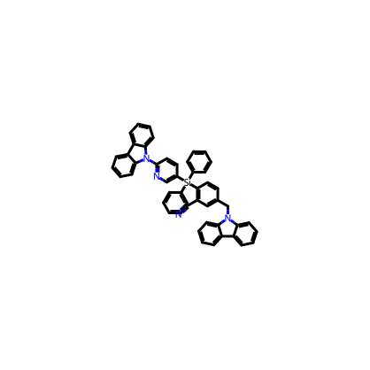 N#Cc1cc(Cn2c3ccccc3c3ccccc32)ccc1[Si](c1ccccc1)(c1ccccc1)c1ccc(-n2c3ccccc3c3ccccc32)nc1